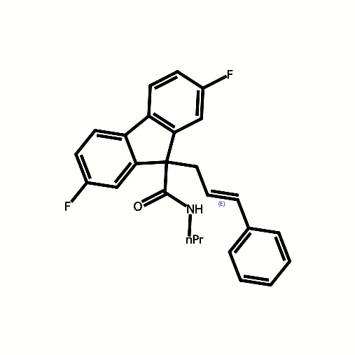 CCCNC(=O)C1(C/C=C/c2ccccc2)c2cc(F)ccc2-c2ccc(F)cc21